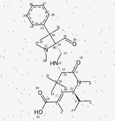 C/C(=C\[C@H](C(C)C)N(C)C(=O)[C@@H](NC[C@](C=O)(N(C)C)C(C)(C)c1ccccc1)C(C)(C)C)C(=O)O